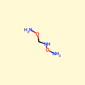 NOCNON